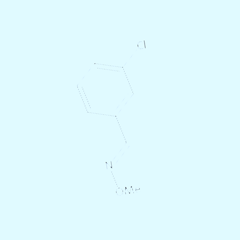 CON=Cc1[c]ccc(Cl)c1